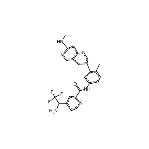 CNc1cc2ncc(-c3cc(NC(=O)c4cc(C(N)C(F)(F)F)ccn4)ccc3C)cc2cn1